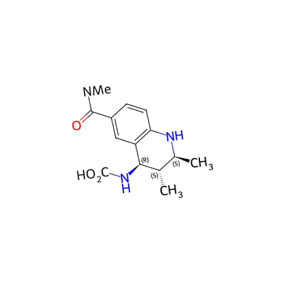 CNC(=O)c1ccc2c(c1)[C@H](NC(=O)O)[C@@H](C)[C@H](C)N2